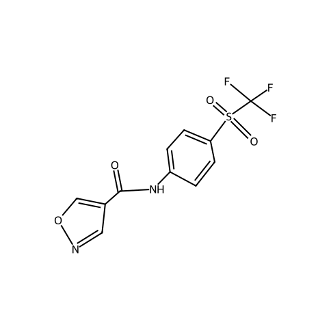 O=C(Nc1ccc(S(=O)(=O)C(F)(F)F)cc1)c1cnoc1